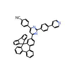 N#Cc1ccc(-c2cc(-c3ccc4c(c3)C3(c5ccccc5-c5ccccc5-4)c4ccccc4-c4ccccc43)nc(-c3ccc(-c4ccncc4)cc3)n2)cc1